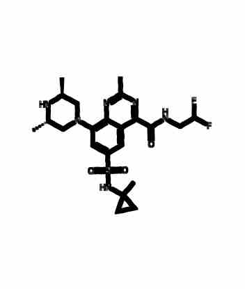 Cc1nc(C(=O)NCC(F)F)c2cc(S(=O)(=O)NC3(C)CC3)cc(N3C[C@H](C)N[C@@H](C)C3)c2n1